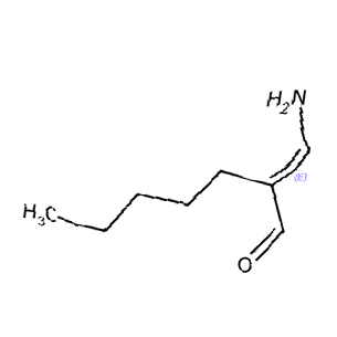 CCCCC/C(C=O)=C\N